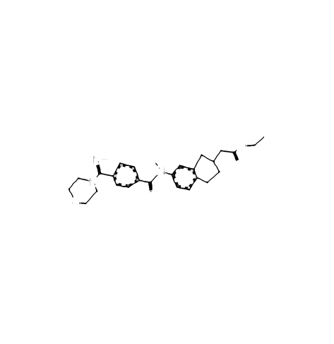 CCOC(=O)CC1CCc2ccc(N(C)C(=O)c3ccc(C(=N)N4CCOCC4)cc3)cc2C1